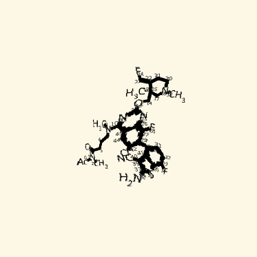 CC(=O)N(C)C(=O)CCCN(C)c1nc(OC[C@]2(C)CN(C)CC/C2=C\F)nc2c(F)c(-c3ccc(F)c4sc(N)c(C#N)c34)c(Cl)cc12